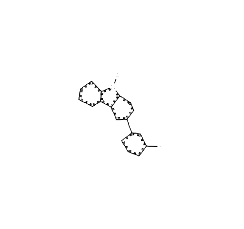 CC(=O)n1c2ccccc2c2cc(-c3cccc(Br)c3)ccc21